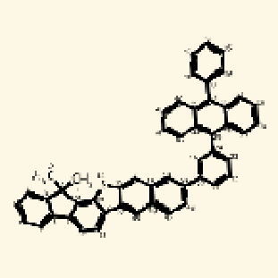 CC1(C)c2ccccc2-c2ccc3c(sc4cc5cc(-c6cccc(-c7c8ccccc8c(-c8ccccc8)c8ccccc78)c6)ccc5cc43)c21